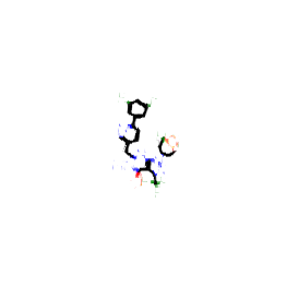 Cl.O=c1[nH]c(Cc2ccc(-c3cc(F)cc(F)c3)nc2)nc2c1c(C(F)(F)F)nn2C1CCOCC1